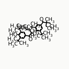 CCCC(Oc1c(C(C)(C)C)cc(C(=O)C(C)(CC)CC)cc1C(C)(C)C)C(=O)c1cc(C(C)(C)C)c(O)c(C(C)(C)C)c1